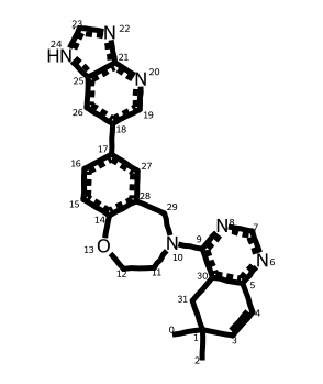 CC1(C)C=Cc2ncnc(N3CCOc4ccc(-c5cnc6n[c][nH]c6c5)cc4C3)c2C1